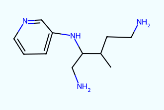 CC(CCN)C(CN)Nc1cccnc1